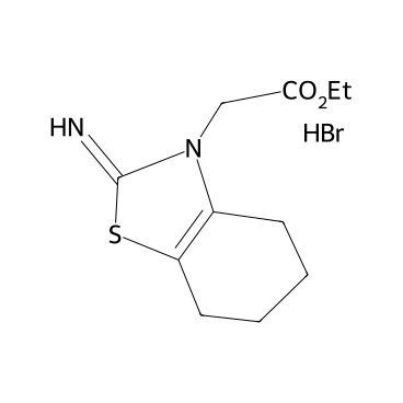 Br.CCOC(=O)Cn1c2c(sc1=N)CCCC2